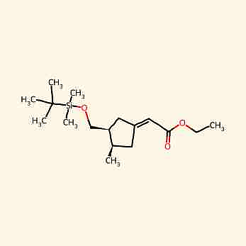 CCOC(=O)C=C1C[C@H](CO[Si](C)(C)C(C)(C)C)[C@H](C)C1